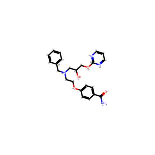 NC(=O)c1ccc(OCCN(Cc2ccccc2)CC(O)COc2ncccn2)cc1